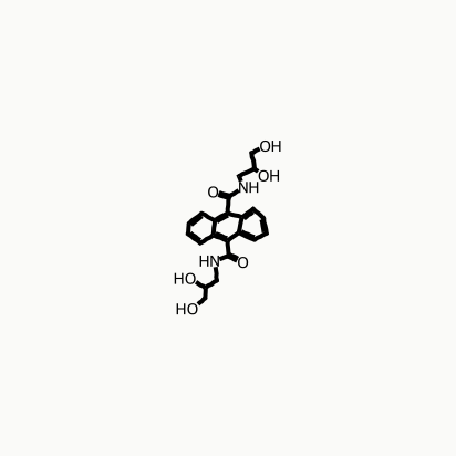 O=C(NCC(O)CO)c1c2ccccc2c(C(=O)NCC(O)CO)c2ccccc12